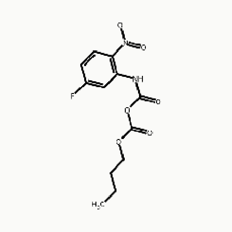 CCCCOC(=O)OC(=O)Nc1cc(F)ccc1[N+](=O)[O-]